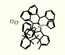 CC1=CC=CC2[CH]([Zr+2]([C]3=CC=CC3)=[C](C(c3ccccc3)c3ccccc3)C(c3ccccc3)c3ccccc3)C3(C)C4(C)C=CC=CC4(C)C4(C)C=CC=CC4(C)C3(C)C12C.[Cl-].[Cl-]